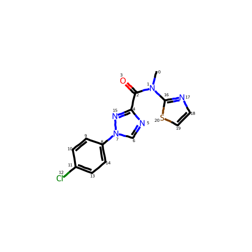 CN(C(=O)c1ncn(-c2ccc(Cl)cc2)n1)c1nccs1